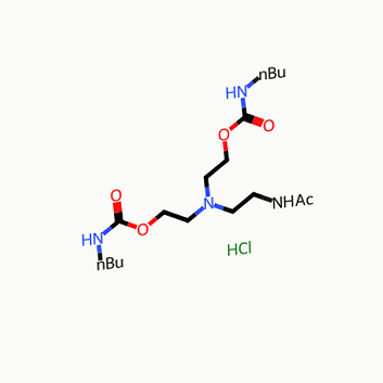 CCCCNC(=O)OCCN(CCNC(C)=O)CCOC(=O)NCCCC.Cl